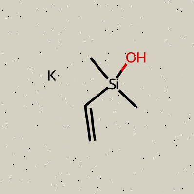 C=C[Si](C)(C)O.[K]